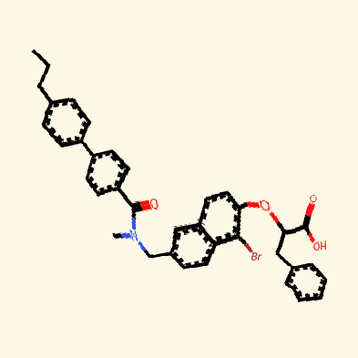 CCCc1ccc(-c2ccc(C(=O)N(C)Cc3ccc4c(Br)c(OC(Cc5ccccc5)C(=O)O)ccc4c3)cc2)cc1